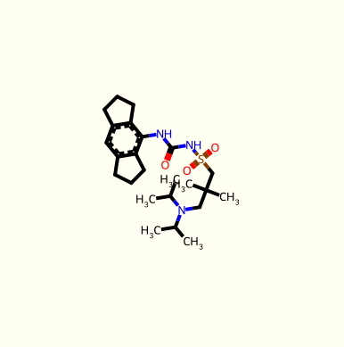 CC(C)N(CC(C)(C)CS(=O)(=O)NC(=O)Nc1c2c(cc3c1CCC3)CCC2)C(C)C